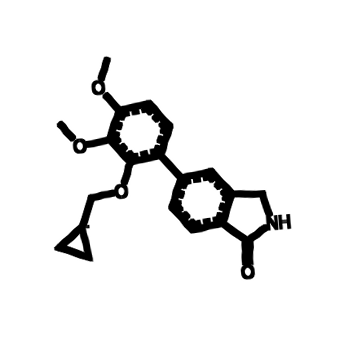 COc1ccc(-c2ccc3c(c2)CNC3=O)c(OC[C]2CC2)c1OC